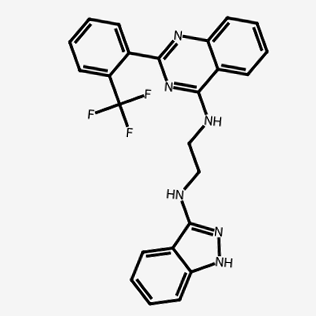 FC(F)(F)c1ccccc1-c1nc(NCCNc2n[nH]c3ccccc23)c2ccccc2n1